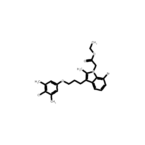 CCOC(=O)Cn1c(C)c(CCCOc2cc(C)c(Cl)c(C)c2)c2cccc(Br)c21